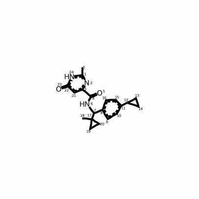 Cc1nc(C(=O)NC(c2ccc(C3CC3)cc2)C2(C)CC2)cc(=O)[nH]1